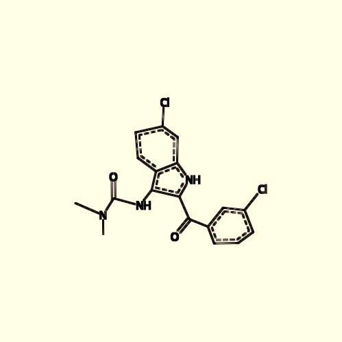 CN(C)C(=O)Nc1c(C(=O)c2cccc(Cl)c2)[nH]c2cc(Cl)ccc12